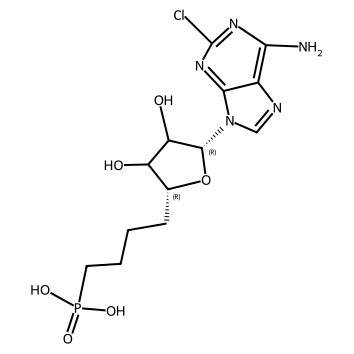 Nc1nc(Cl)nc2c1ncn2[C@@H]1O[C@H](CCCCP(=O)(O)O)C(O)C1O